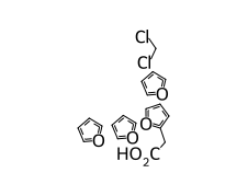 ClCCl.O=C(O)Cc1ccco1.c1ccoc1.c1ccoc1.c1ccoc1